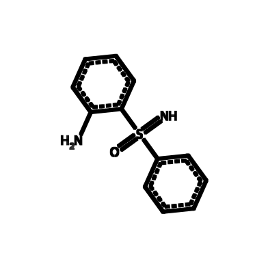 N=S(=O)(c1ccccc1)c1ccccc1N